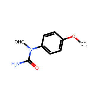 NC(=O)N(C=O)c1ccc(OC(F)(F)F)cc1